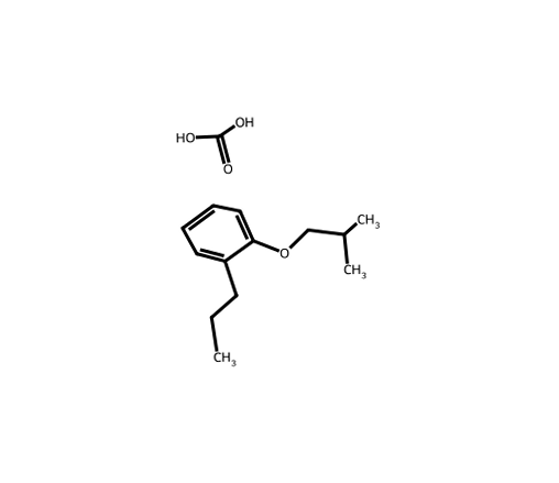 CCCc1ccccc1OCC(C)C.O=C(O)O